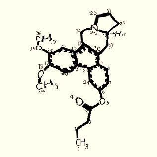 CCCC(=O)Oc1ccc2c3c(c4cc(OC)c(OC)cc4c2c1)CN1CCC[C@H]1C3